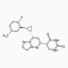 Cc1ccc(F)c([C@H]2C[C@@H]2c2cc(-c3c[nH]c(=O)[nH]c3=O)nn3ccnc23)c1